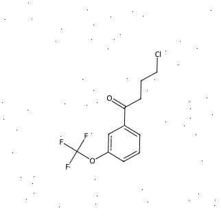 O=C(CCCCl)c1cccc(OC(F)(F)F)c1